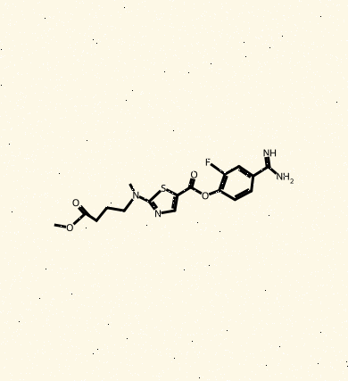 COC(=O)CCCN(C)c1ncc(C(=O)Oc2ccc(C(=N)N)cc2F)s1